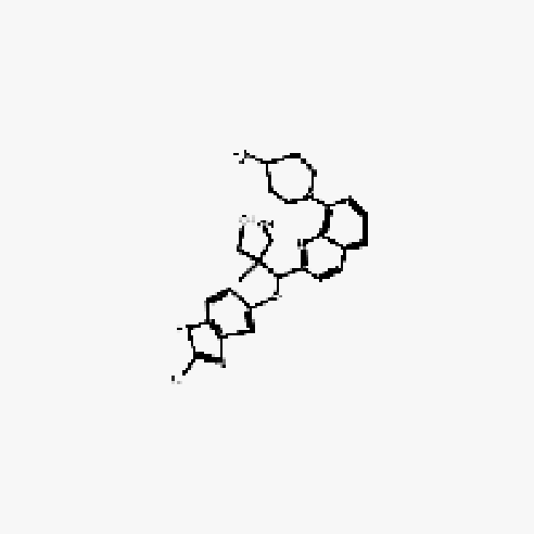 CC(CO)(CO)C(Oc1ccc2[nH]c(O)nc2c1)c1ccc2cccc(N3CCC(N)CC3)c2n1